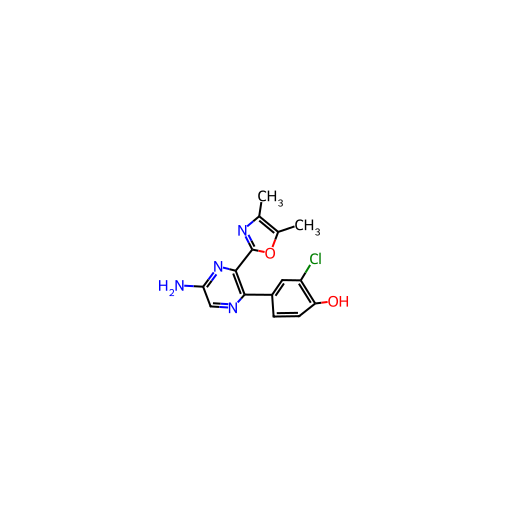 Cc1nc(-c2nc(N)cnc2-c2ccc(O)c(Cl)c2)oc1C